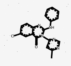 Cc1cc(-n2c(Nc3ccccc3)nc3ccc(Cl)cc3c2=O)ncn1